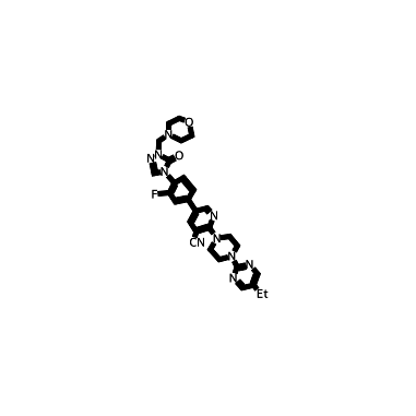 CCc1cnc(N2CCN(c3ncc(-c4ccc(-n5cnn(CN6CCOCC6)c5=O)c(F)c4)cc3C#N)CC2)nc1